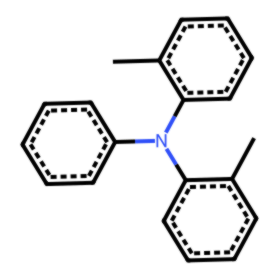 Cc1ccccc1N(c1ccccc1)c1ccccc1C